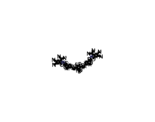 CC1(C)Oc2cc(/C=C3\C(=O)c4cc(C#N)c(C#N)cc4C3=C(C#N)C#N)sc2-c2ccc(-c3ccc(-c4c(F)c(F)c(-c5ccc(-c6ccc7c(c6)C(C)(C)Oc6cc(/C=C8\C(=O)c9cc(C#N)c(C#N)cc9C8=C(C#N)C#N)sc6-7)s5)c5c4N=S=N5)s3)cc21